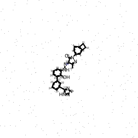 CC1=NN(c2ccc3c(c2)CC3)C(=O)/C1=N/Nc1cccc(-c2cccc(-c3nnn[nH]3)c2)c1O